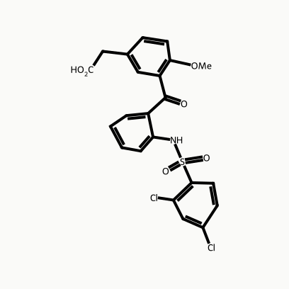 COc1ccc(CC(=O)O)cc1C(=O)c1ccccc1NS(=O)(=O)c1ccc(Cl)cc1Cl